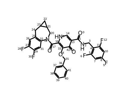 O=C(NCc1c(F)cc(F)cc1F)c1c[nH]c(C(=O)N2CC3CC3Cc3cc(F)c(F)cc32)c(OCc2ccccc2)c1=O